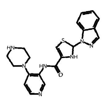 O=C(Nc1cnccc1N1CCNCC1)C1=CSC(n2ncc3ccccc32)N1